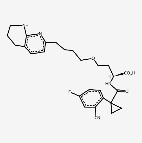 N#Cc1cc(F)ccc1C1(C(=O)N[C@@H](CCOCCCCc2ccc3c(n2)NCCC3)C(=O)O)CC1